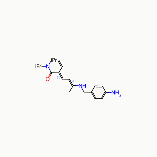 C=C/C(=C\C=C(/C)NCc1ccc(N)cc1)C(=O)N(C(C)C)C(C)C